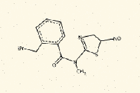 CC(C)Cc1ccccc1C(=O)N(C)C1=NCC(N=O)S1